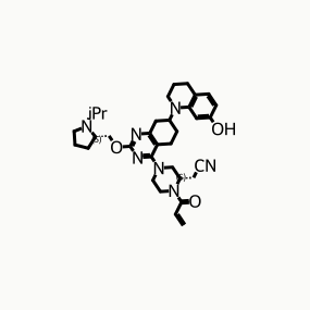 C=CC(=O)N1CCN(c2nc(OC[C@@H]3CCCN3C(C)C)nc3c2CCC(N2CCCc4ccc(O)cc42)C3)C[C@@H]1CC#N